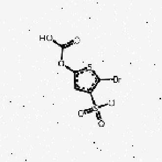 O=C(O)Oc1cc(S(=O)(=O)Cl)c(Br)s1